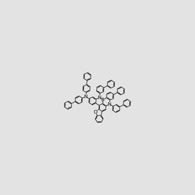 c1ccc(-c2ccc(N(c3ccc(-c4ccccc4)cc3)c3ccc4c(c3)N(c3cccc(-c5ccccc5)c3)B3c5ccc(-c6ccccc6)cc5N(c5cccc(-c6ccccc6)c5)c5cc6c(oc7ccccc76)c-4c53)cc2)cc1